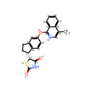 O=C1NC(=O)C([C@@H]2CCc3cc(Oc4ncc(C(F)(F)F)c5ccccc45)ccc32)S1